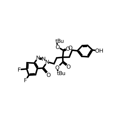 CC(C)(C)OC(=O)C(CCn1nnc2cc(F)c(F)cc2c1=O)(CC(=O)c1ccc(O)cc1)C(=O)OC(C)(C)C